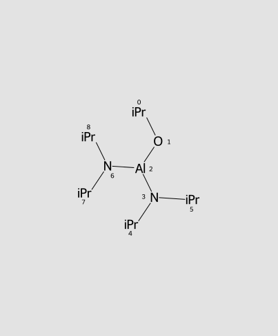 CC(C)[O][Al]([N](C(C)C)C(C)C)[N](C(C)C)C(C)C